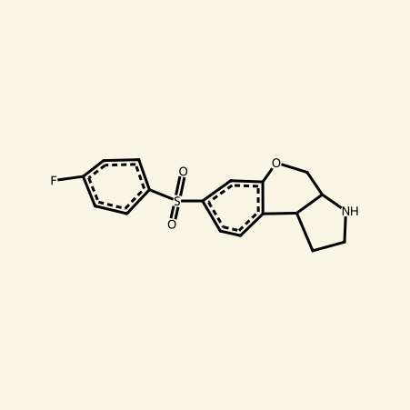 O=S(=O)(c1ccc(F)cc1)c1ccc2c(c1)OCC1NCCC21